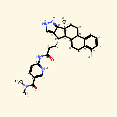 CN(C)C(=O)c1ccc(NC(=O)CC[C@@H]2c3c[nH]nc3[C@@]3(C)CCC4c5cccc(F)c5CCC4C23)nc1